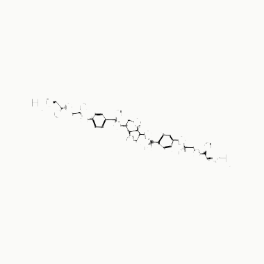 C=CC(=O)OCC(=O)Oc1ccc(C(=O)OC2COC3C(OC(=O)c4ccc(OC(=O)COC(=O)C=C)cc4)COC23)cc1